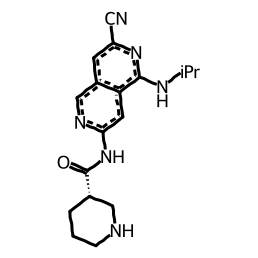 CC(C)Nc1nc(C#N)cc2cnc(NC(=O)[C@H]3CCCNC3)cc12